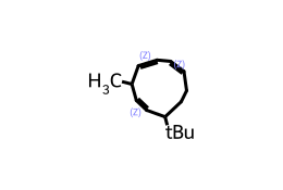 CC1/C=C\C=C/CCC(C(C)(C)C)/C=C\1